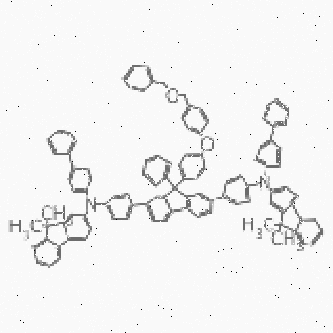 CC1(C)c2ccccc2-c2ccc(N(c3ccc(-c4ccccc4)cc3)c3ccc(-c4ccc5c(c4)C(c4ccccc4)(c4ccc(Oc6ccc(COCc7ccccc7)cc6)cc4)c4cc(-c6ccc(N(c7ccc(-c8ccccc8)cc7)c7ccc8c(c7)C(C)(C)c7ccccc7-8)cc6)ccc4-5)cc3)cc21